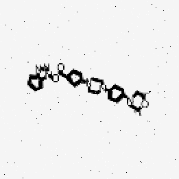 C[C@@H]1CN(c2ccc(N3CCN(c4ccc(C(=O)On5nnc6ccccc65)cc4)CC3)cc2)C[C@H](C)O1